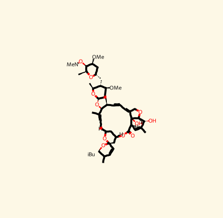 CC[C@H](C)[C@H]1O[C@]2(C=CC1C)C[C@@H]1C[C@@H](C/C=C(\C)[C@@H](O[C@H]3C[C@H](OC)[C@@H](C[C@H]4C[C@H](OC)[C@H](ONC)[C@H](C)O4)[C@H](C)O3)[C@@H](C)/C=C/C=C3\CO[C@@H]4[C@H](O)C(C)=C[C@@H](C(=O)O1)[C@]34O)O2